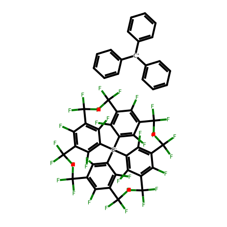 Fc1c([B-](c2c(F)c(C(F)(F)F)c(F)c(C(F)(F)F)c2F)(c2c(F)c(C(F)(F)F)c(F)c(C(F)(F)F)c2F)c2c(F)c(C(F)(F)F)c(F)c(C(F)(F)F)c2F)c(F)c(C(F)(F)F)c(F)c1C(F)(F)F.c1ccc([C+](c2ccccc2)c2ccccc2)cc1